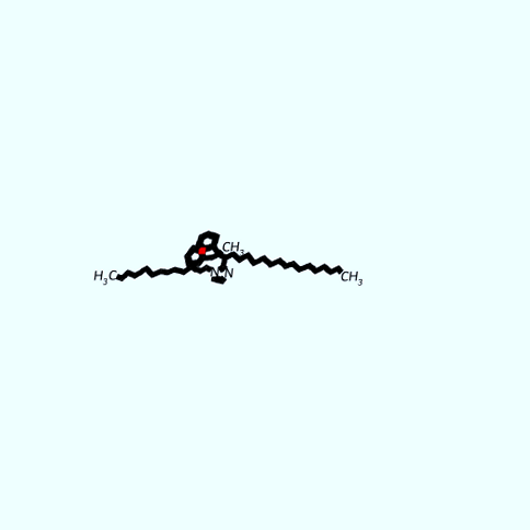 CCCCCCCCCCCCCCCCC(c1nccn1CCCCCCCCCCCCC)C(C)(Cc1ccccc1)c1ccccc1